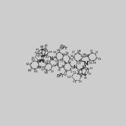 CCCc1cc(N(c2cccc3c2CCCC3)c2cccc3c4ccccc4n(-c4ccccc4)c23)c2ccc3c(CCC)cc(N(c4cccc5c4CCCC5)c4cccc5c6ccccc6n(-c6ccccc6)c45)c4ccc1c2c34